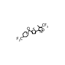 Cc1c(-c2ccc(C(=O)N3CCC(C(F)(F)F)CC3)s2)noc1C(F)(F)F